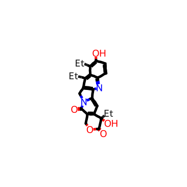 CCc1c(O)ccc2nc3c(c(CC)c12)Cn1c-3cc2c(c1=O)COC(=O)C2(O)CC